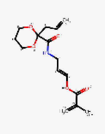 C=CCC1(C(=O)NCC=COC(=O)C(=C)C)OCCCO1